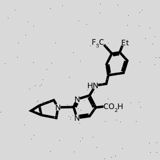 CCc1ccc(CNc2nc(N3CC4CC4C3)ncc2C(=O)O)cc1C(F)(F)F